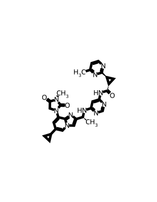 Cc1ccnc([C@H]2C[C@@H]2C(=O)Nc2cc(N[C@H](C)c3cn4cc(C5CC5)cc(N5CC(=O)N(C)C5=O)c4n3)ncn2)n1